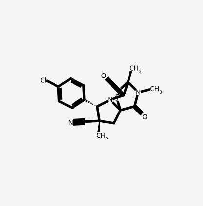 CN1C(=O)C23C[C@](C)(C#N)[C@H](c4ccc(Cl)cc4)N2C(=O)C1(C)SS3